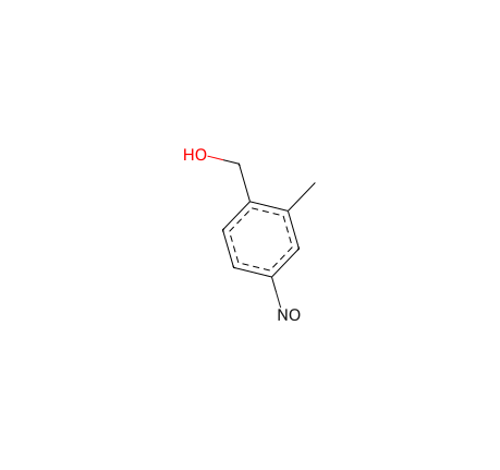 Cc1cc(N=O)ccc1CO